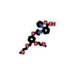 COCCOCc1ccc(OC2CN(c3cccc(C(=O)O)c3-n3cccc3)C2)cc1OCCOC